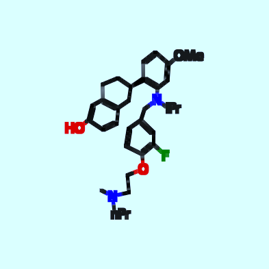 CCCN(C)CCOc1ccc(CN(c2cc(OC)ccc2[C@@H]2CCc3cc(O)ccc3C2)C(C)C)cc1F